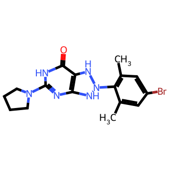 Cc1cc(Br)cc(C)c1N1Nc2nc(N3CCCC3)[nH]c(=O)c2N1